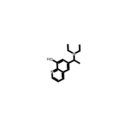 CCN(CC)C(C)c1cc(O)c2ncccc2c1